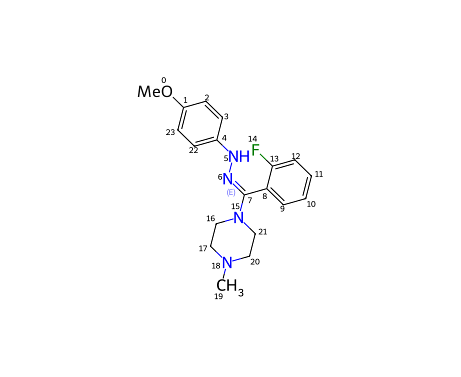 COc1ccc(N/N=C(\c2ccccc2F)N2CCN(C)CC2)cc1